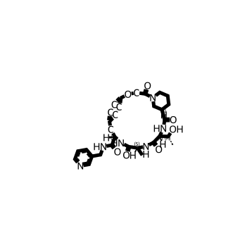 C[C@@H]1NC(=O)[C@H]([C@@H](C)O)NC(=O)[C@H]2CCCN(C2)C(=O)COc2ccc(cc2)C[C@@H](C(=O)NCc2cccnc2)NC1=O